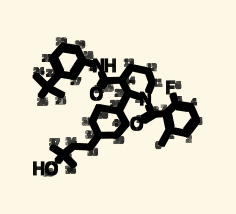 Cc1cccc(F)c1C(=O)N1CCCC(C(=O)Nc2cccc(C(C)(C)C)c2)C1C1CCC(CCC(C)(C)O)CC1